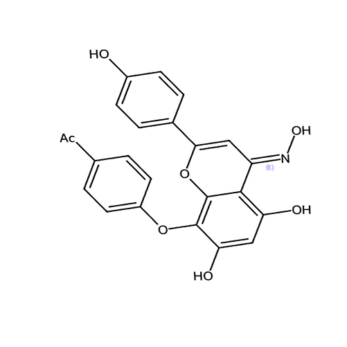 CC(=O)c1ccc(Oc2c(O)cc(O)c3/c(=N/O)cc(-c4ccc(O)cc4)oc23)cc1